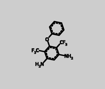 Nc1cc(N)c(C(F)(F)F)c(Oc2ccccc2)c1C(F)(F)F